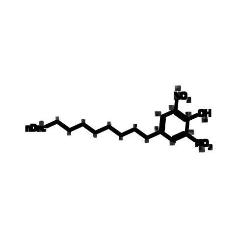 CCCCCCCCCCCCCCCCCCc1cc([N+](=O)[O-])c(O)c([N+](=O)[O-])c1